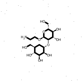 NCCO[C@H]1O[C@H](CO)[C@@H](O)[C@H](O)[C@@H]1O[C@H]1C[C@H](CO)[C@@H](O)[C@H](O)[C@@H]1O